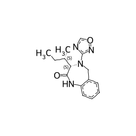 CC[C@H](C)[C@H]1C(=O)Nc2ccccc2CN1c1ncon1